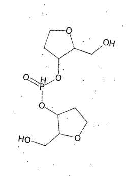 O=[PH](OC1CCOC1CO)OC1CCOC1CO